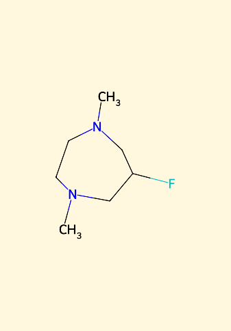 CN1CCN(C)CC(F)C1